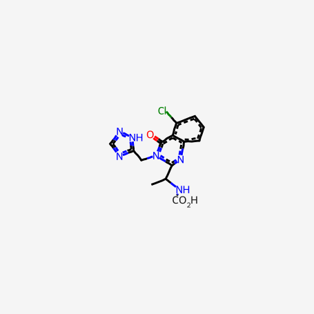 CC(NC(=O)O)c1nc2cccc(Cl)c2c(=O)n1Cc1ncn[nH]1